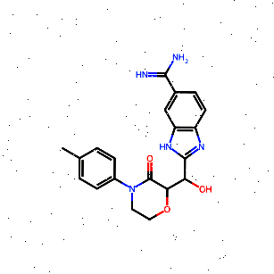 Cc1ccc(N2CCOC(C(O)c3nc4ccc(C(=N)N)cc4[nH]3)C2=O)cc1